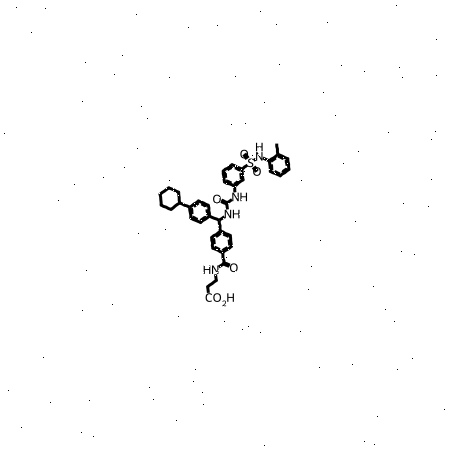 Cc1ccccc1NS(=O)(=O)c1cccc(NC(=O)NC(c2ccc(C(=O)NCCC(=O)O)cc2)c2ccc(C3CCCCC3)cc2)c1